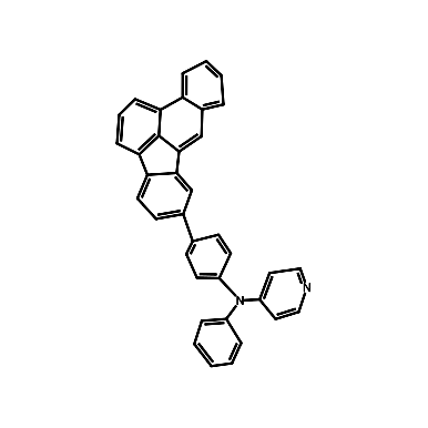 c1ccc(N(c2ccncc2)c2ccc(-c3ccc4c(c3)-c3cc5ccccc5c5cccc-4c35)cc2)cc1